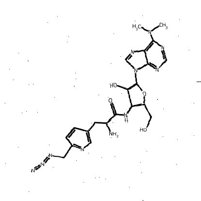 CN(C)c1ncnc2c1ncn2C1OC(CO)C(NC(=O)C(N)Cc2ccc(CN=[N+]=[N-])nc2)C1O